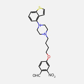 O=Cc1ccc(OCCCCN2CCN(c3cccc4sccc34)CC2)cc1[N+](=O)[O-]